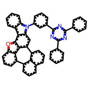 c1ccc(-c2nc(-c3ccccc3)nc(-c3cccc(-n4c5ccccc5c5c6oc7cccc8c7c6c(cc54)-c4cccc5cccc-8c45)c3)n2)cc1